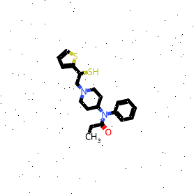 CCC(=O)N(c1ccccc1)C1CCN(CC(S)c2cccs2)CC1